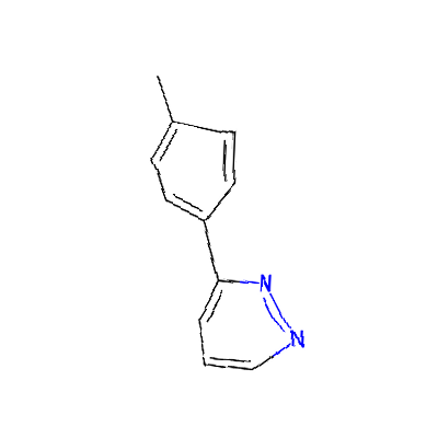 Cc1ccc(-c2cccnn2)cc1